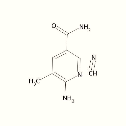 C#N.Cc1cc(C(N)=O)cnc1N